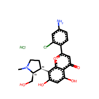 CN1CC[C@H](c2c(O)cc(O)c3c(=O)cc(-c4ccc(N)cc4Cl)oc23)[C@H]1CO.Cl